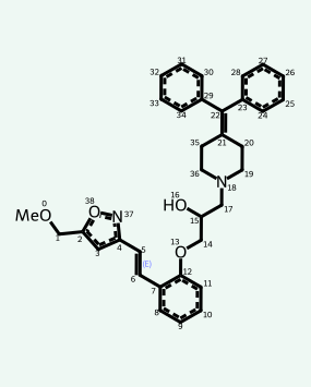 COCc1cc(/C=C/c2ccccc2OCC(O)CN2CCC(=C(c3ccccc3)c3ccccc3)CC2)no1